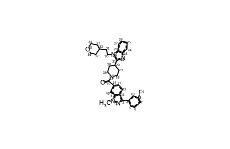 Cn1nc(-c2cccc(F)c2)c2ccc(C(=O)N3CCC(c4nc5ccccc5n4CCC4CCOCC4)CC3)cc21